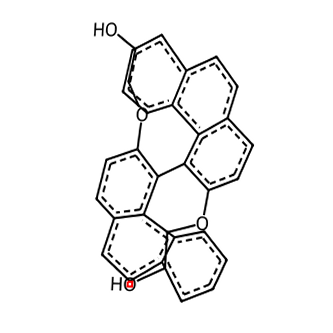 OCCOc1ccc2ccc3ccccc3c2c1-c1c(OCCO)ccc2ccc3ccccc3c12